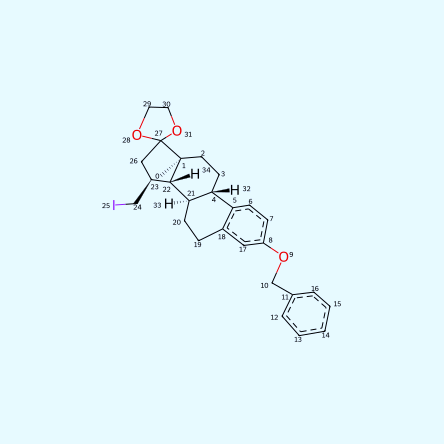 C[C@]12CC[C@@H]3c4ccc(OCc5ccccc5)cc4CC[C@H]3[C@@H]1[C@@H](CI)CC21OCCO1